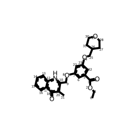 CCOC(=O)c1cc(OCc2[nH]c3ccccc3c(=O)c2C)cc(OCC2CCOCC2)c1